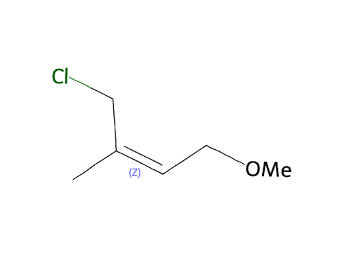 COC/C=C(/C)CCl